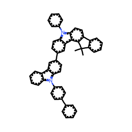 CC1(C)c2ccccc2-c2ccc3c(c21)c1cc(-c2ccc4c(c2)c2ccccc2n4-c2ccc(-c4ccccc4)cc2)ccc1n3-c1ccccc1